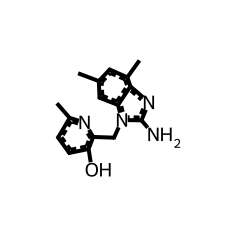 Cc1cc(C)c2nc(N)n(Cc3nc(C)ccc3O)c2c1